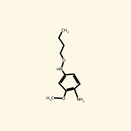 CCCCONc1ccc(N)c(OC)c1